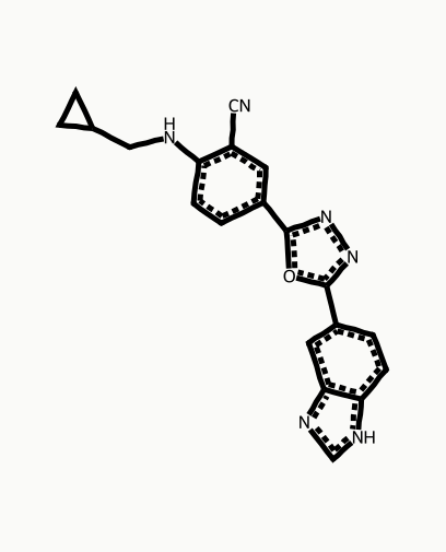 N#Cc1cc(-c2nnc(-c3ccc4[nH]cnc4c3)o2)ccc1NCC1CC1